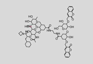 CCC1CC(C(=O)NCCNC(=O)C2CC(OCc3cc4ccccc4oc3=O)C(O)[C@H](O[C@@H]3OC(CO)[C@H](O)C(OCc4cc5ccccc5oc4=O)C3O)C2)C[C@@H](O[C@@H]2OC(CO)[C@H](O)C(O[C@@H](CC3CCCCC3)C(=O)N3CCC3)C2NC(C)=O)C1O[C@@H]1OC(C)[C@@H](O)C(O)C1O